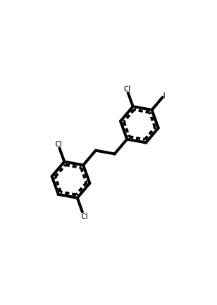 Clc1ccc(Cl)c(CCc2ccc(I)c(Cl)c2)c1